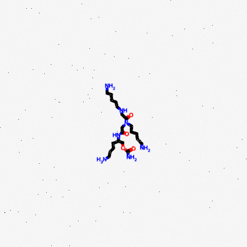 NCCCCCNCC(=O)N(CCCCCN)CC(=O)NC(CCCCN)COC(N)=O